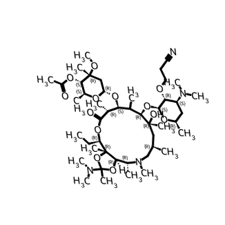 CC[C@H]1OC(=O)[C@H](C)[C@@H](O[C@H]2C[C@@](C)(OC)[C@@H](OC(C)=O)[C@H](C)O2)C(C)[C@@H](O[C@@H]2O[C@H](C)C[C@H](N(C)C)[C@H]2OCCC#N)[C@](C)(O)C[C@@H](C)CN(C)[C@H](C)[C@H]2OC(C)(N(C)C)O[C@@]21C